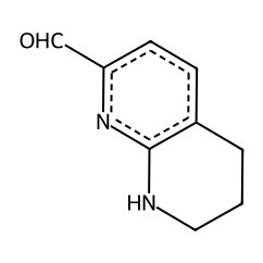 O=Cc1ccc2c(n1)NCCC2